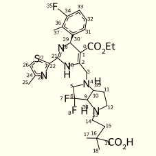 CCOC(=O)C1=C(CN2CC(F)(F)[C@H]3[C@@H]2CCN3CCC(C)(C)C(=O)O)NC(c2nc(C)cs2)=N[C@H]1c1cccc(F)c1C